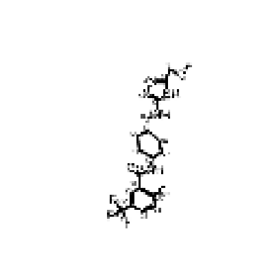 COCc1nnc(NC[C@H]2CC[C@H](NC(=O)c3cc(C(F)(F)F)ccc3Cl)CC2)[nH]1